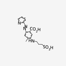 Cc1cc(N=Nc2nccs2)c(C(=O)O)cc1NCCCS(=O)(=O)O